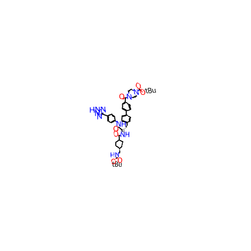 CC(C)(C)OC(=O)NCC1CCC(C(=O)N[C@@H](Cc2ccc(-c3ccc(C(=O)N4CCN(C(=O)OC(C)(C)C)CC4)cc3)cc2)C(=O)Nc2ccc(-c3nn[nH]n3)cc2)CC1